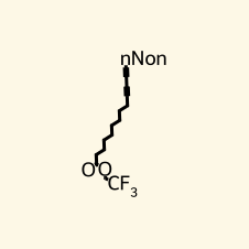 CCCCCCCCCC#CC#CCCCCCCCCC(=O)OCC(F)(F)F